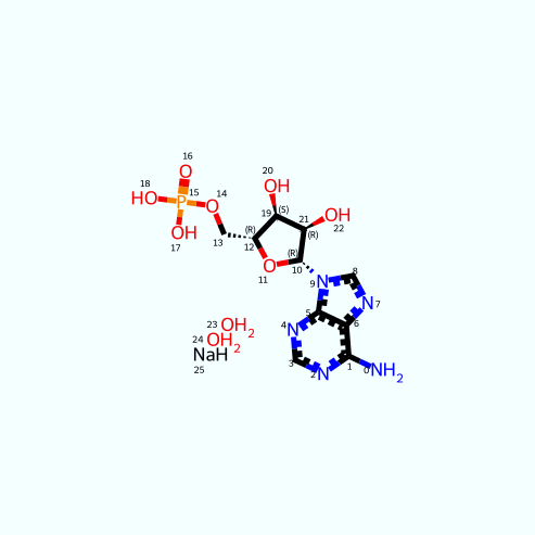 Nc1ncnc2c1ncn2[C@@H]1O[C@H](COP(=O)(O)O)[C@@H](O)[C@H]1O.O.O.[NaH]